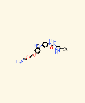 CC(C)(C)c1cc(NC(=O)Nc2ccc(-n3cnc4cc(OCCOCCN)ccc43)cc2)[nH]n1